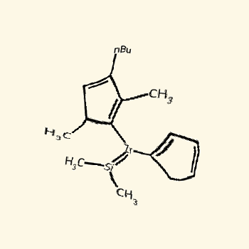 CCCCC1=CC(C)[C]([Zr]([C]2=CC=CC2)=[Si](C)C)=C1C